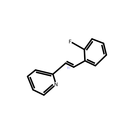 Fc1ccccc1/C=C/c1ccccn1